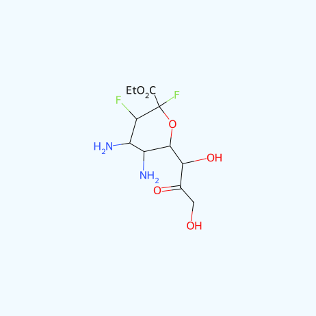 CCOC(=O)C1(F)OC(C(O)C(=O)CO)C(N)C(N)C1F